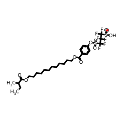 CCC(C)C(=O)OCCCCCCCCCCCCOC(=O)c1ccc(OS(=O)(=O)C(F)(F)C(F)(F)C(F)(F)S(=O)(=O)O)cc1